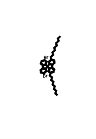 CCCCCCCCCCc1ccc2c(c1)C1(c3cc(Br)ccc3-c3ccc(Br)cc31)c1cc(CCCCCCCCCC)ccc1-2